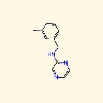 Cc1cccc(CNc2cnccn2)c1